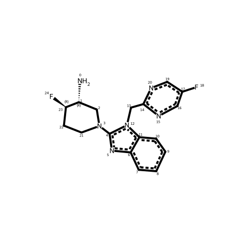 N[C@@H]1CN(c2nc3ccccc3n2Cc2ncc(F)cn2)CC[C@H]1F